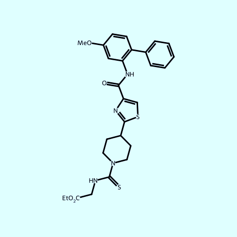 CCOC(=O)CNC(=S)N1CCC(c2nc(C(=O)Nc3cc(OC)ccc3-c3ccccc3)cs2)CC1